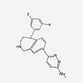 Nc1ccc(-c2ccc3c(c2)CNCCC3c2cc(F)cc(F)c2)nn1